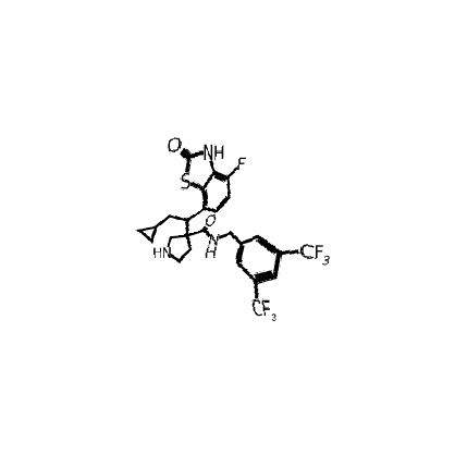 O=C(NCc1cc(C(F)(F)F)cc(C(F)(F)F)c1)C1(C(CC2CC2)c2ccc(F)c3[nH]c(=O)sc23)CCNC1